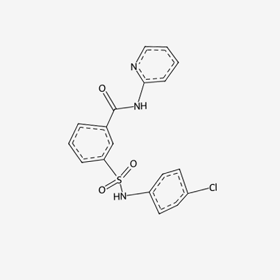 O=C(Nc1ccccn1)c1cccc(S(=O)(=O)Nc2ccc(Cl)cc2)c1